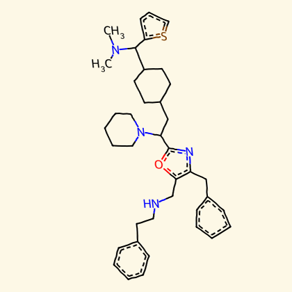 CN(C)C(c1cccs1)C1CCC(CC(c2nc(Cc3ccccc3)c(CNCCc3ccccc3)o2)N2CCCCC2)CC1